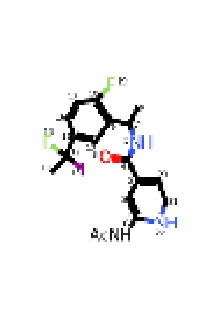 CC(=O)NC1=CC(C(=O)NC(C)c2cc(C(C)(F)I)ccc2F)=CCN1